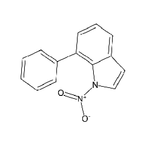 O=[N+]([O-])n1ccc2cccc(-c3ccccc3)c21